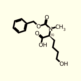 CN(C(=O)OCc1ccccc1)[C@@H](CCCCO)C(=O)O